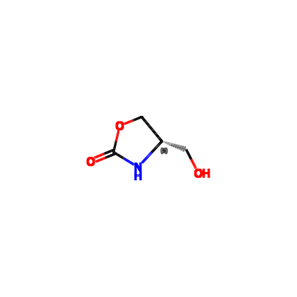 O=C1N[C@@H](CO)CO1